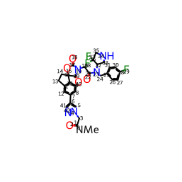 CNC(=O)Cn1cc(-c2ccc3c(c2)CCC32OC(=O)N(CC(=O)N(Cc3ccc(F)cc3)C3CNCC3(F)F)C2=O)cn1